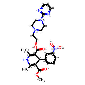 COC(=O)C1=C(C)NC(C)=C(C(=O)OCCN2CCN(c3ncccn3)CC2)C1c1cccc([N+](=O)[O-])c1